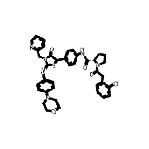 O=C(Nc1ccc(C2S/C(=N\c3ccc(N4CCOCC4)cc3)N(Cc3ccccn3)C2=O)cc1)[C@@H]1CCCN1C(=O)Cc1ccccc1Cl